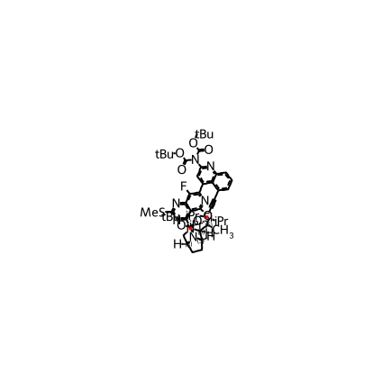 CSc1nc2c3c(nc(-c4cc(N(C(=O)OC(C)(C)C)C(=O)OC(C)(C)C)nc5cccc(C#C[Si](C(C)C)(C(C)C)C(C)C)c45)c(F)c3n1)O[C@@H](C)[C@@H]1[C@@H]3CC[C@H](CN21)N3C(=O)OC(C)(C)C